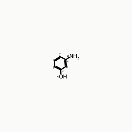 Nc1[c]c(O)ccc1